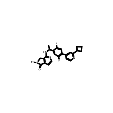 CCN1Cc2c(ccnc2NC(C)c2cc(F)c(-c3ccnc(C4CCC4)c3)cc2F)C1=O